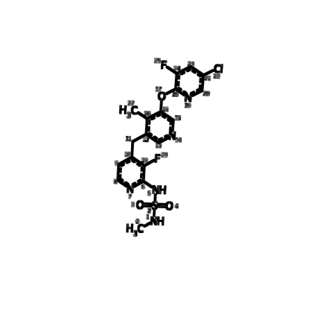 CNS(=O)(=O)Nc1nccc(Cc2cncc(Oc3ncc(Cl)cc3F)c2C)c1F